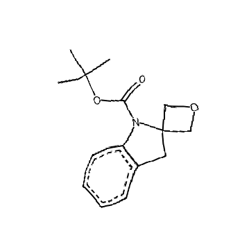 CC(C)(C)OC(=O)N1c2ccccc2CC12COC2